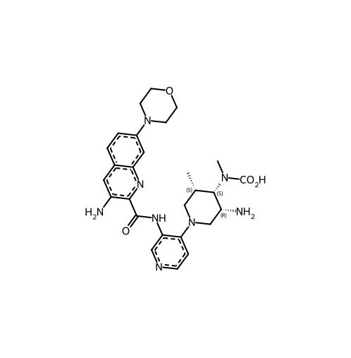 C[C@H]1CN(c2ccncc2NC(=O)c2nc3cc(N4CCOCC4)ccc3cc2N)C[C@@H](N)[C@H]1N(C)C(=O)O